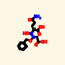 NC(=O)CC[C@@H](C(=O)O)N(O)N(CC(=O)O)OCc1ccccc1